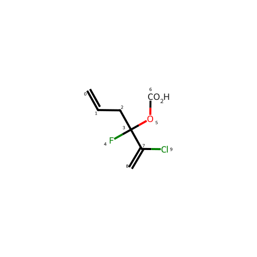 C=CCC(F)(OC(=O)O)C(=C)Cl